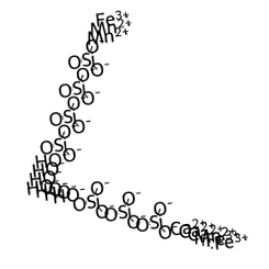 O=[Si]([O-])[O-].O=[Si]([O-])[O-].O=[Si]([O-])[O-].O=[Si]([O-])[O-].O=[Si]([O-])[O-].O=[Si]([O-])[O-].O=[Si]([O-])[O-].[Ca+2].[Ca+2].[Ca+2].[Fe+3].[Fe+3].[Fe+3].[Mn+2].[Mn+2].[Mn+2].[OH-].[OH-].[OH-].[OH-].[OH-].[OH-].[OH-]